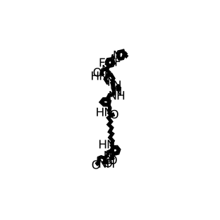 CC1(C)CCN(Cc2cc(F)c(N3CC(=O)NC4(CCN(c5cc(NCc6cccc(CNC(=O)CCCCCCCCNc7cccc8c7CN(C7CCC(=O)NC7=O)C8=O)c6)ncn5)CC4)C3)cc2F)CC1